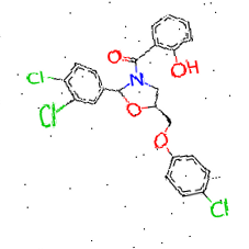 O=C(c1ccccc1O)N1C[C@@H](COc2ccc(Cl)cc2)OC1c1ccc(Cl)c(Cl)c1